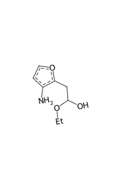 CCOC(O)Cc1occc1N